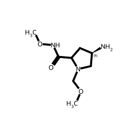 COCN1C[C@H](N)CC1C(=O)NOC